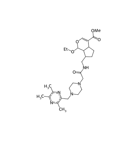 CCOC1OC=C(C(=O)OC)C2CCC(CNC(=O)CN3CCN(Cc4nc(C)c(C)nc4C)CC3)C12